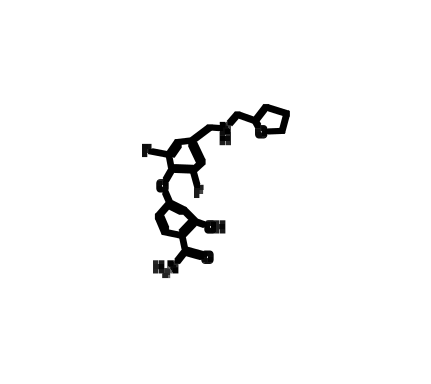 NC(=O)c1ccc(Oc2c(F)cc(CNCC3CCCO3)cc2F)cc1O